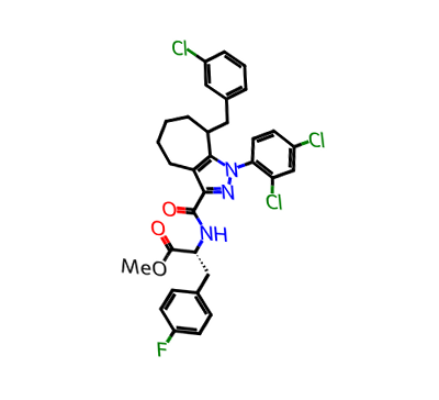 COC(=O)[C@@H](Cc1ccc(F)cc1)NC(=O)c1nn(-c2ccc(Cl)cc2Cl)c2c1CCCCC2Cc1cccc(Cl)c1